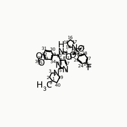 CC1CCN(c2nccc(C(NC(=O)[C@@H]3CCCN3S(=O)(=O)c3ccc(F)cc3)c3ccc4c(c3)OCO4)n2)CC1